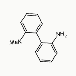 CNc1ccccc1-c1ccccc1N